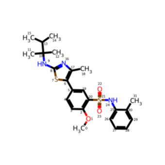 COc1ccc(-c2sc(NC(C)(C)C(C)C)nc2C)cc1S(=O)(=O)Nc1ccccc1C